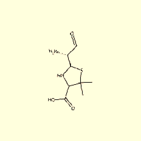 CC1(C)SC([C@H](N)C=O)NC1C(=O)O